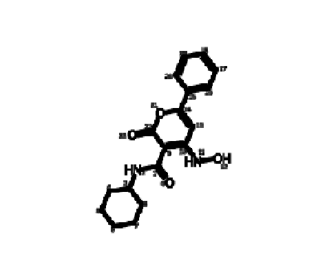 O=C(NC1CCCCC1)c1c(NO)cc(-c2ccccc2)oc1=O